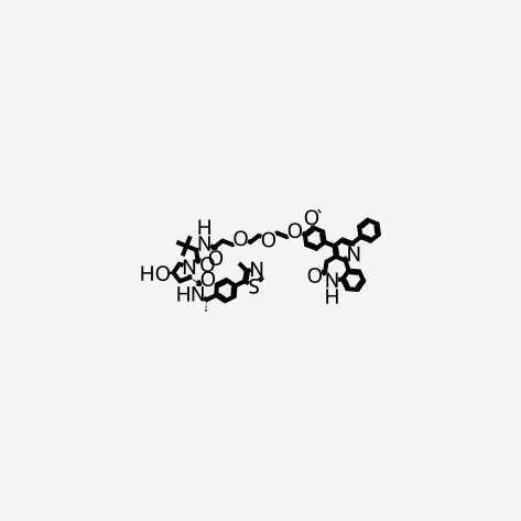 COc1cc(-c2cc(-c3ccccc3)nc3c2CC(=O)Nc2ccccc2-3)ccc1OCCOCCOCCC(=O)N[C@H](C(=O)N1C[C@H](O)C[C@H]1C(=O)N[C@@H](C)c1ccc(-c2scnc2C)cc1)C(C)(C)C